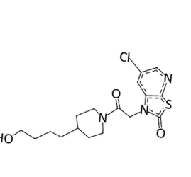 O=C(Cn1c(=O)sc2ncc(Cl)cc21)N1CCC(CCCCO)CC1